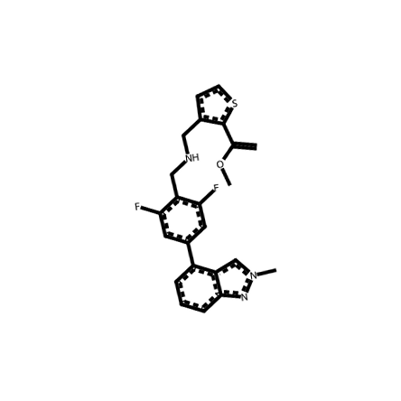 C=C(OC)c1sccc1CNCc1c(F)cc(-c2cccc3nn(C)cc23)cc1F